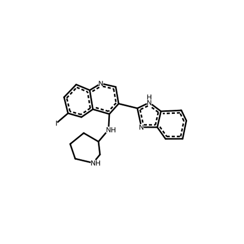 Ic1ccc2ncc(-c3nc4ccccc4[nH]3)c(NC3CCCNC3)c2c1